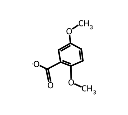 COc1ccc(OC)c(C([O])=O)c1